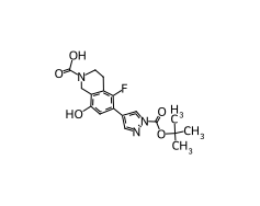 CC(C)(C)OC(=O)n1cc(-c2cc(O)c3c(c2F)CCN(C(=O)O)C3)cn1